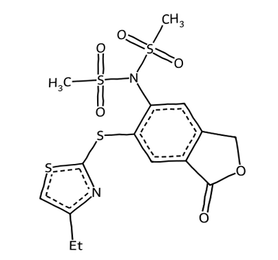 CCc1csc(Sc2cc3c(cc2N(S(C)(=O)=O)S(C)(=O)=O)COC3=O)n1